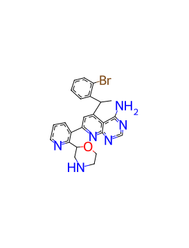 CC(c1ccccc1Br)c1cc(-c2cccnc2C2CNCCO2)nc2ncnc(N)c12